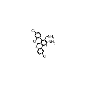 NCc1c(N)nc2c(c1-c1ccc(Cl)cc1Cl)CSc1ccc(Cl)cc1-2